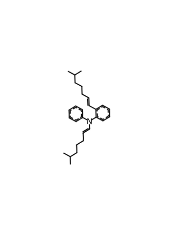 CC(C)CCCC=Cc1ccccc1N(C=CCCCC(C)C)c1ccccc1